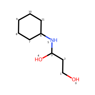 OCCC(O)NC1CCCCC1